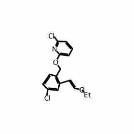 CCOC=Cc1cc(Cl)ccc1COc1cccc(Cl)n1